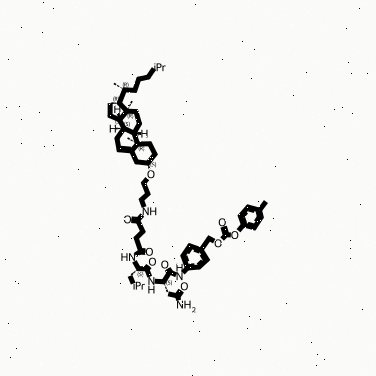 Cc1ccc(OC(=O)OCc2ccc(NC(=O)[C@H](CC(N)=O)NC(=O)[C@H](CC(C)C)NC(=O)CCC(=O)NCCCO[C@H]3CC[C@@]4(C)C(=CC[C@H]5[C@@H]6CC[C@H]([C@H](C)CCCC(C)C)[C@@]6(C)CC[C@@H]54)C3)cc2)cc1